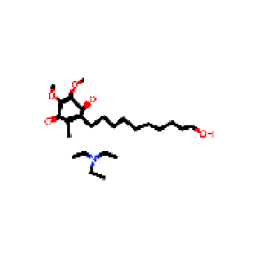 CCN(CC)CC.COC1=C(OC)C(=O)C(CCCCCCCCCCO)=C(C)C1=O